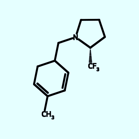 CC1=CCC(CN2CCC[C@@H]2C(F)(F)F)C=C1